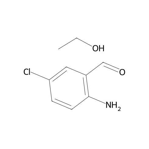 CCO.Nc1ccc(Cl)cc1C=O